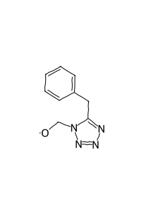 [O]Cn1nnnc1Cc1ccccc1